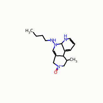 CCCCNN1C=C2C[N+](=O)CC(C)C2C2=CC=CNC21